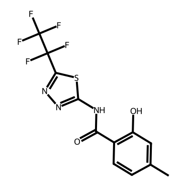 Cc1ccc(C(=O)Nc2nnc(C(F)(F)C(F)(F)F)s2)c(O)c1